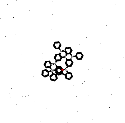 c1ccc(N2c3ccc(N4c5ccccc5[Si](c5ccccc5)(c5ccccc5)c5ccccc54)cc3B3c4cc(-n5c6ccccc6c6ccccc65)ccc4N(c4ccccc4)c4cccc2c43)cc1